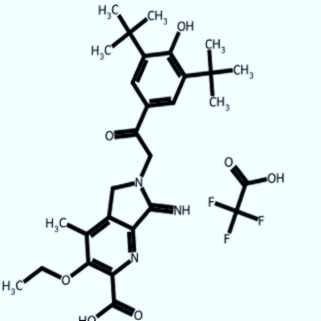 CCOc1c(C(=O)O)nc2c(c1C)CN(CC(=O)c1cc(C(C)(C)C)c(O)c(C(C)(C)C)c1)C2=N.O=C(O)C(F)(F)F